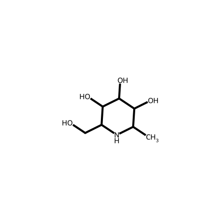 CC1NC(CO)C(O)C(O)C1O